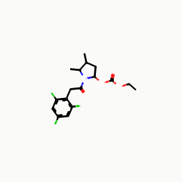 CCOC(=O)OC1CC(C)C(C)N1C(=O)Cc1c(Cl)cc(Cl)cc1Cl